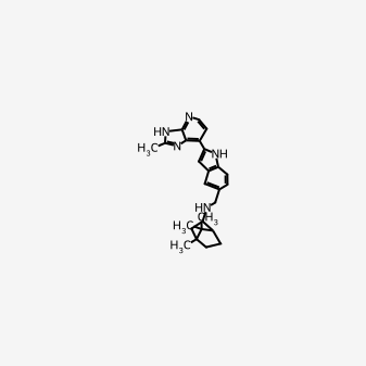 Cc1nc2c(-c3cc4cc(CNC5CC6(C)CCC5C6(C)C)ccc4[nH]3)ccnc2[nH]1